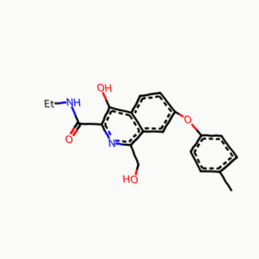 CCNC(=O)c1nc(CO)c2cc(Oc3ccc(C)cc3)ccc2c1O